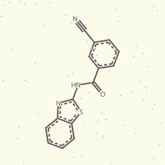 N#Cc1cccc(C(=O)Nc2nc3ccccc3s2)c1